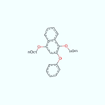 CCCCCCCCOc1cc(Oc2ccccc2)c(OCCCCCCCC)c2ccccc12